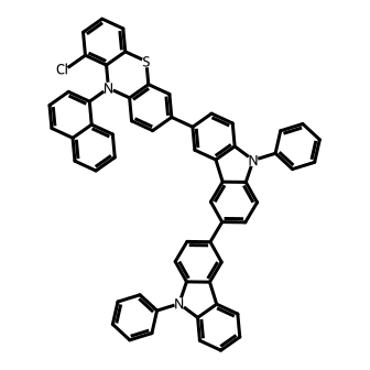 Clc1cccc2c1N(c1cccc3ccccc13)c1ccc(-c3ccc4c(c3)c3cc(-c5ccc6c(c5)c5ccccc5n6-c5ccccc5)ccc3n4-c3ccccc3)cc1S2